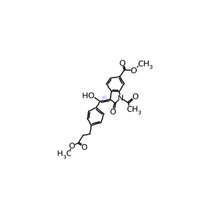 COC(=O)CCc1ccc(/C(O)=C2\C(=O)N(C(C)=O)c3cc(C(=O)OC)ccc32)cc1